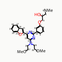 CNCC(O)COc1cccc(-c2nc(-c3cc4ccccc4o3)cc(N(CCOC)CCOC)n2)c1